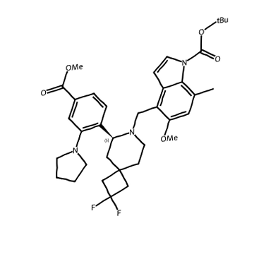 COC(=O)c1ccc([C@@H]2CC3(CCN2Cc2c(OC)cc(C)c4c2ccn4C(=O)OC(C)(C)C)CC(F)(F)C3)c(N2CCCC2)c1